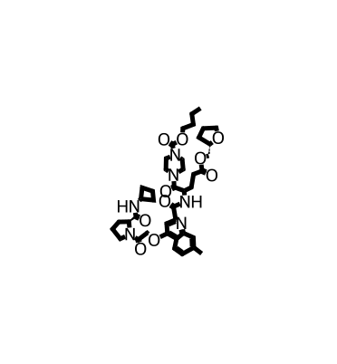 CCCCOC(=O)N1CCN(C(=O)C(CCC(=O)OC[C@@H]2CCCO2)NC(=O)c2cc(OCC(=O)N3CCC[C@H]3C(=O)NC3CCC3)c3ccc(C)cc3n2)CC1